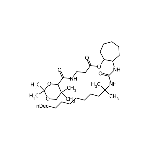 CCCCCCCCCCCCCCCCCC(C)(C)NC(=O)NC1CCCCCC1OC(=O)CCNC(=O)C1OC(C)(C)OCC1(C)C